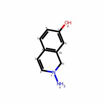 NN1C=Cc2ccc(O)cc2C1